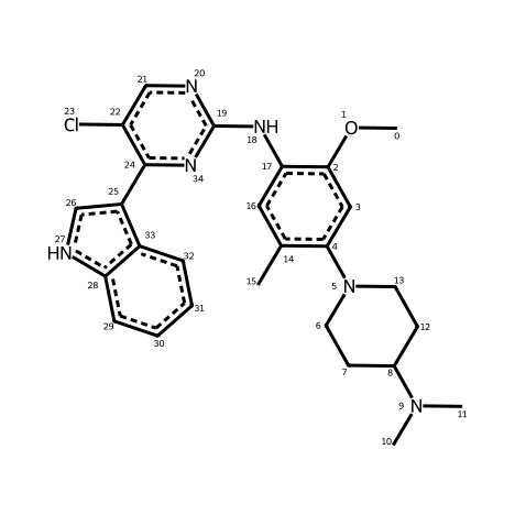 COc1cc(N2CCC(N(C)C)CC2)c(C)cc1Nc1ncc(Cl)c(-c2c[nH]c3ccccc23)n1